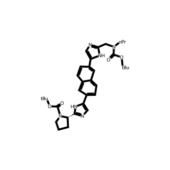 CCCN(Cc1ncc(-c2ccc3cc(-c4cnc([C@@H]5CCCN5C(=O)OC(C)(C)C)[nH]4)ccc3c2)[nH]1)C(=O)OC(C)(C)C